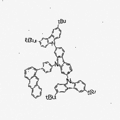 CC(C)(C)c1ccc2c(c1)c1cc(C(C)(C)C)ccc1n2-c1ccc2c3ccc(-n4c5ccc(C(C)(C)C)cc5c5cc(C(C)(C)C)ccc54)cc3n(-c3ccc(-c4cccc5cc6ccccc6cc45)cc3)c2c1